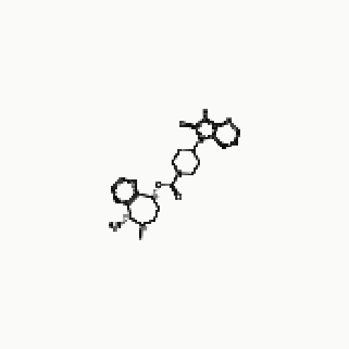 C[C@@H]1CC[C@@H](OC(=O)N2CCC(n3c(=O)[nH]c4ncccc43)CC2)c2ncccc2[C@H]1N